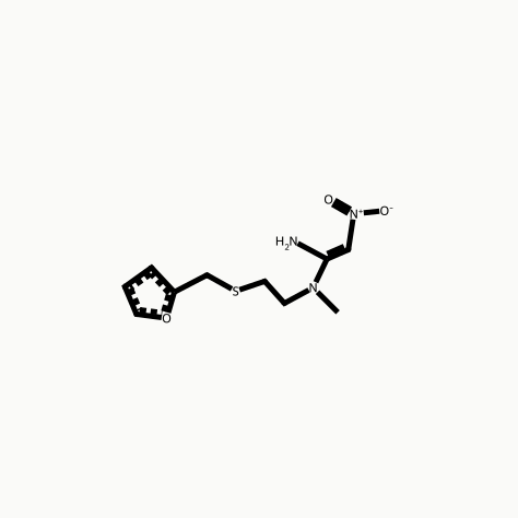 CN(CCSCc1ccco1)C(N)=C[N+](=O)[O-]